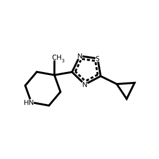 CC1(c2nsc(C3CC3)n2)CCNCC1